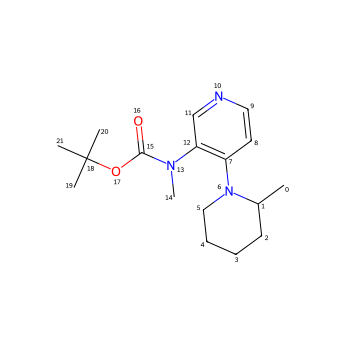 CC1CCCCN1c1ccncc1N(C)C(=O)OC(C)(C)C